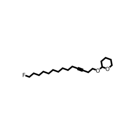 FCCCCCCCCCCC#CCCOC1CCCCO1